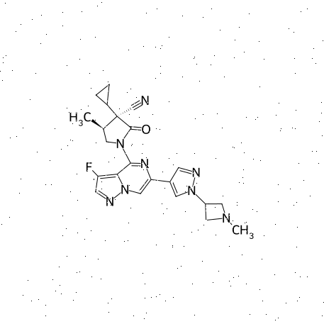 C[C@@H]1CN(c2nc(-c3cnn(C4CN(C)C4)c3)cn3ncc(F)c23)C(=O)[C@]1(C#N)C1CC1